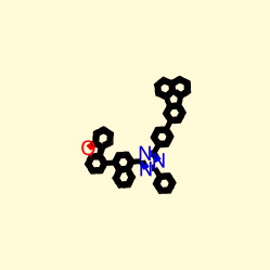 c1ccc(-c2nc(-c3ccc(-c4ccc5c(c4)-c4cccc6cccc-5c46)cc3)nc(-c3ccc(-c4cccc5oc6ccccc6c45)c4ccccc34)n2)cc1